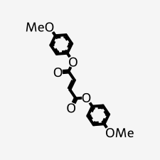 COc1ccc(OC(=O)C=CC(=O)Oc2ccc(OC)cc2)cc1